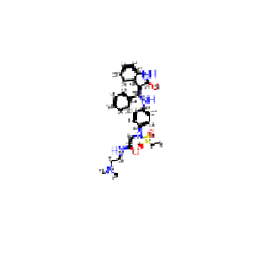 CCS(=O)(=O)N(CC(=O)NCCN(C)C)c1ccc(N/C(=C2\C(=O)Nc3ccccc32)c2ccccc2)cc1